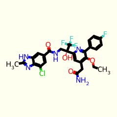 CCOc1c(CC(N)=O)cc([C@@](O)(CNC(=O)c2cc(Cl)c3nc(C)[nH]c3c2)C(F)(F)F)nc1-c1ccc(F)cc1